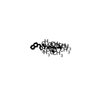 CO[C@@H](C(=O)NC1CSCCN(Cc2ccc3ccccc3c2)C1=O)[C@@H]1OC(C)(C)O[C@H](C=CC(C)(C)C)[C@@H]1O